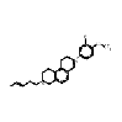 CC=CCC[C@H]1CCc2c(ccc3c2CC[C@H](c2ccc(OC(F)(F)F)c(F)c2)C3)C1